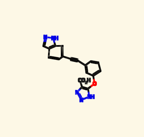 O=C(O)c1nn[nH]c1Oc1cccc(C#Cc2ccc3cn[nH]c3c2)c1